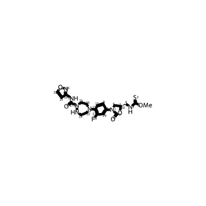 COC(=S)NC[C@H]1CN(c2ccc(N3CCNN(C(=O)Nc4ccon4)CC3)c(F)c2)C(=O)O1